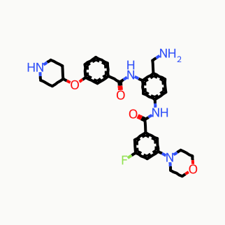 NCc1ccc(NC(=O)c2cc(F)cc(N3CCOCC3)c2)cc1NC(=O)c1cccc(OC2CCNCC2)c1